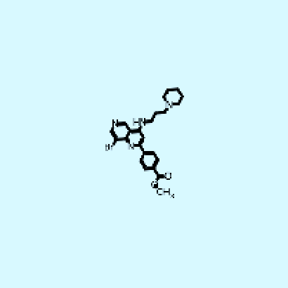 COC(=O)c1ccc(-c2cc(NCCCN3CCCCC3)c3cncc(Br)c3n2)cc1